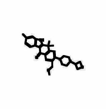 COCc1cc2c(cc1N1CCN(C3COC3)CC1)C(C)(C)c1[nH]c3cc(C)ccc3c1C2=O